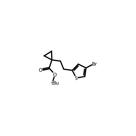 CC(C)(C)OC(=O)C1(CCc2cc(Br)cs2)CC1